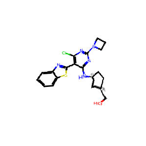 OC[C@@H]1CC[C@H](Nc2nc(N3CCC3)nc(Cl)c2-c2nc3ccccc3s2)C1